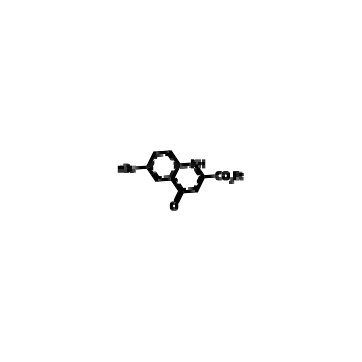 CCCCc1ccc2[nH]c(C(=O)OCC)cc(=O)c2c1